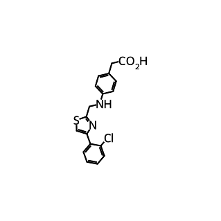 O=C(O)Cc1ccc(NCc2nc(-c3ccccc3Cl)cs2)cc1